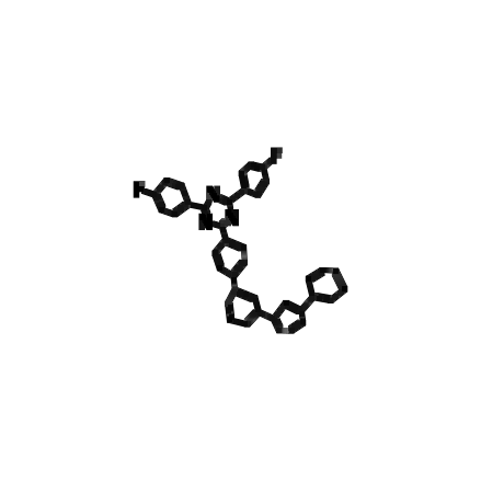 Fc1ccc(-c2nc(-c3ccc(F)cc3)nc(-c3ccc(-c4cccc(-c5cccc(-c6ccccc6)c5)c4)cc3)n2)cc1